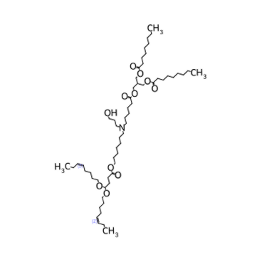 CC/C=C\CCCCOC(CCC(=O)OCCCCCCCN(CCCO)CCCCCC(=O)OCC(COC(=O)CCCCCCCC)COC(=O)CCCCCCCC)OCCCC/C=C\CC